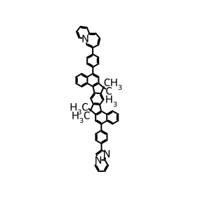 CC1(C)c2cc3c(cc2-c2c1cc(-c1ccc(C4=CN5C=CC=CC5=CC=C4)cc1)c1ccccc21)C(C)(C)c1cc(-c2ccc(-c4cn5ccccc5n4)cc2)c2ccccc2c1-3